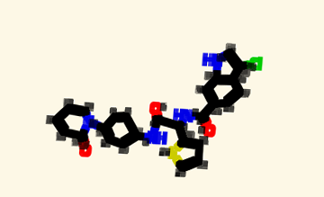 O=C(NC(C(=O)Nc1ccc(-n2ccccc2=O)cc1)c1cccs1)c1ccc2c(Cl)c[nH]c2c1